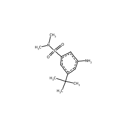 CN(C)S(=O)(=O)c1cc(N)cc(C(C)(C)C)c1